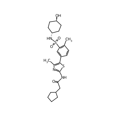 Cc1ccc(-c2sc(NC(=O)CC3CCCC3)nc2C)cc1S(=O)(=O)N[C@H]1CC[C@H](O)CC1